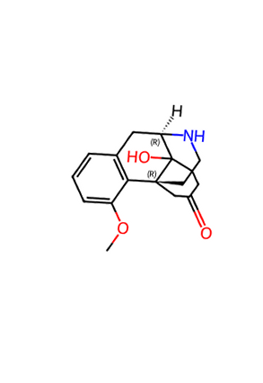 COc1cccc2c1[C@]13CCN[C@H](C2)C1(O)CCC(=O)C3